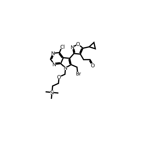 C[Si](C)(C)CCOCn1c(CBr)c(-c2noc(C3CC3)c2CC=O)c2c(Cl)ncnc21